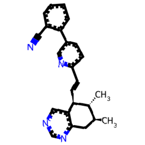 C[C@H]1[C@H](/C=C/c2ccc(-c3ccccc3C#N)cn2)c2cncnc2C[C@@H]1C